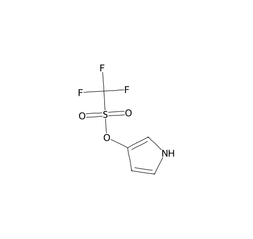 O=S(=O)(Oc1cc[nH]c1)C(F)(F)F